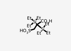 CC[Si](CC)(CC)C(CS(=O)(=O)O)(C(=O)O)[Si](CC)(CC)CC